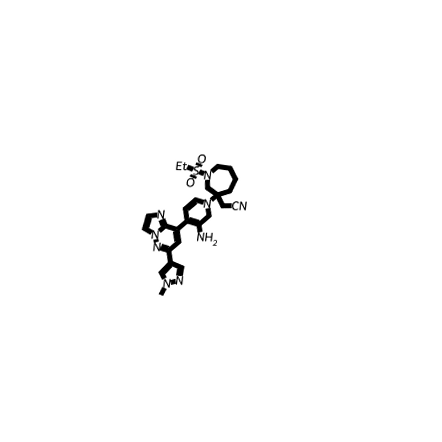 CCS(=O)(=O)N1CCCCC(CC#N)(N2C=CC(c3cc(-c4cnn(C)c4)nn4ccnc34)=C(N)C2)C1